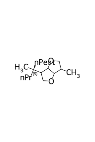 CCCCC[C@](C)(CCC)C1COC2C(C)COC21